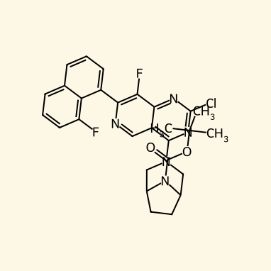 CC(C)(C)OC(=O)N1C2CCC1CN(c1nc(Cl)nc3c(F)c(-c4cccc5cccc(F)c45)ncc13)C2